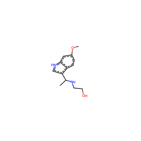 COc1ccc2c(C(C)NCCO)c[nH]c2c1